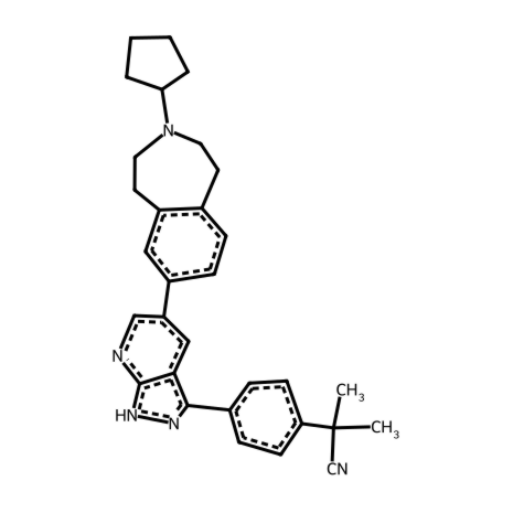 CC(C)(C#N)c1ccc(-c2n[nH]c3ncc(-c4ccc5c(c4)CCN(C4CCCC4)CC5)cc23)cc1